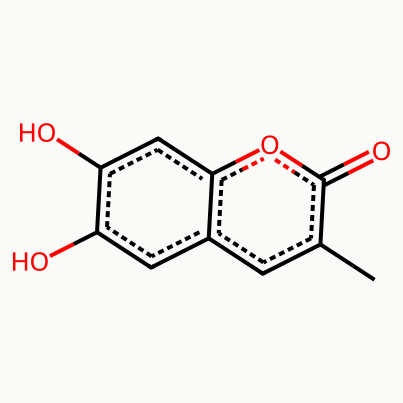 Cc1cc2cc(O)c(O)cc2oc1=O